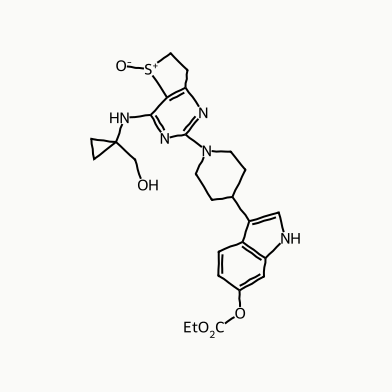 CCOC(=O)Oc1ccc2c(C3CCN(c4nc5c(c(NC6(CO)CC6)n4)[S+]([O-])CC5)CC3)c[nH]c2c1